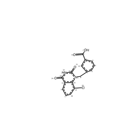 O=C(O)c1cccc(Cn2c(=O)[nH]c(=O)c3cccc(Cl)c32)c1